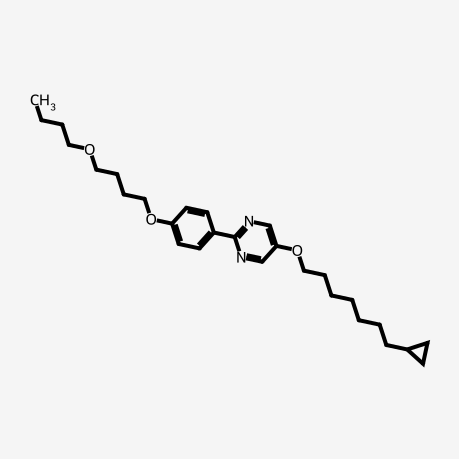 CCCCOCCCCOc1ccc(-c2ncc(OCCCCCCCC3CC3)cn2)cc1